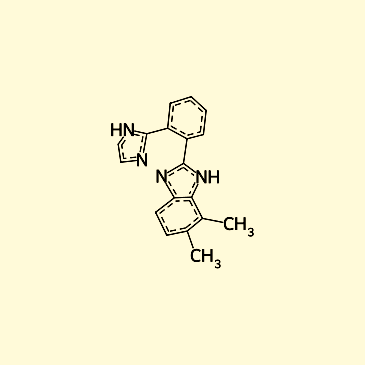 Cc1ccc2nc(-c3ccccc3-c3ncc[nH]3)[nH]c2c1C